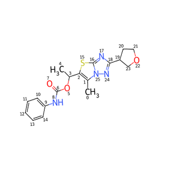 Cc1c(C(C)OC(=O)Nc2ccccc2)sc2nc(C3CCOC3)nn12